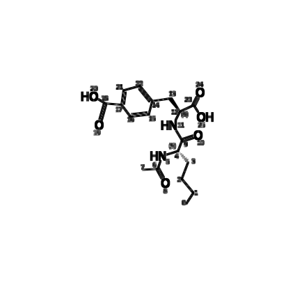 CCCC[C@H](NC(C)=O)C(=O)N[C@@H](Cc1ccc(C(=O)O)cc1)C(=O)O